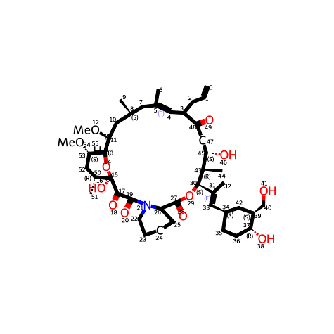 C=CCC1/C=C(\C)C[C@H](C)C[C@H](OC)[C@H]2O[C@@](O)(C(=O)C(=O)N3CCCCC3C(=O)O[C@H](/C(C)=C/[C@@H]3CC[C@@H](O)[C@H](CO)C3)[C@H](C)[C@@H](O)CC1=O)[C@H](C)C[C@@H]2OC